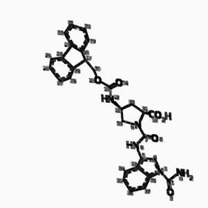 NC(=O)n1cc(NC(=O)N2C[C@@H](NC(=O)OCC3c4ccccc4-c4ccccc43)C[C@H]2C(=O)O)c2ccccc21